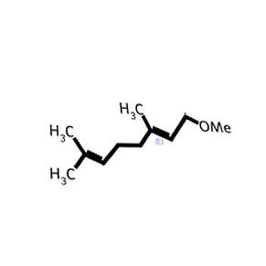 CO[CH]/C=C(\C)CCC=C(C)C